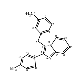 [CH2]c1cccc([CH]c2c(-c3ccc(Br)cc3)nc3ccccn23)c1